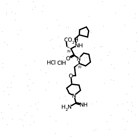 Cl.Cl.N=C(N)N1CCC(OCC[C@@H]2CCCCN2C(=O)[C@H](CC(=O)O)NCC2CCCC2)CC1